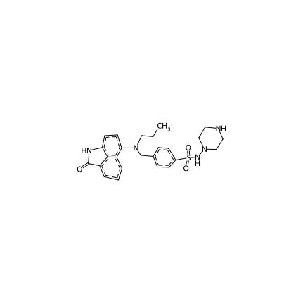 CCCN(Cc1ccc(S(=O)(=O)NN2CCNCC2)cc1)c1ccc2c3c(cccc13)C(=O)N2